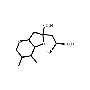 CC1COC2CC(C[C@H](N)C(=O)O)(C(=O)O)OC2C1C